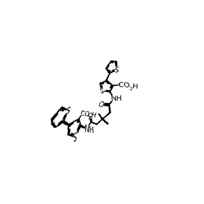 CC(C)(CC(=O)Nc1scc(-c2cccs2)c1C(=O)O)CC(=O)Nc1scc(-c2cccs2)c1C(=O)O